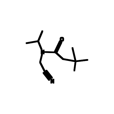 CC(C)N(CC#N)C(=O)CC(C)(C)C